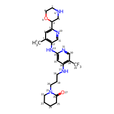 Cc1cc(C2CNCCO2)ncc1Nc1cc(NCCCN2CCCCC2=O)c(C(F)(F)F)cn1